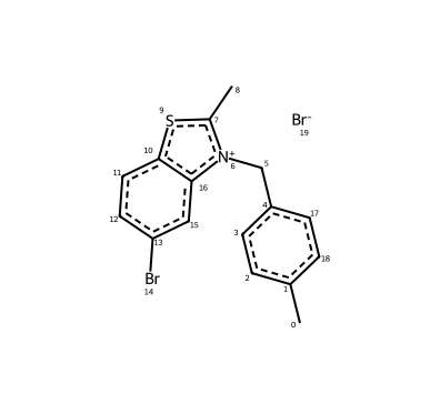 Cc1ccc(C[n+]2c(C)sc3ccc(Br)cc32)cc1.[Br-]